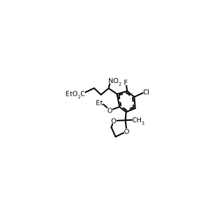 CCOC(=O)CCC(c1c(F)c(Cl)cc(C2(C)OCCO2)c1OCC)[N+](=O)[O-]